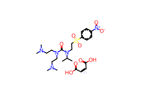 CC(C)N(CCS(=O)(=O)c1ccc([N+](=O)[O-])cc1)C(=O)N(CCN(C)C)CCN(C)C.O=C(O)/C=C\C(=O)O